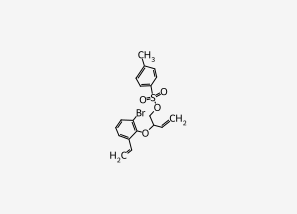 C=Cc1cccc(Br)c1OC(C=C)COS(=O)(=O)c1ccc(C)cc1